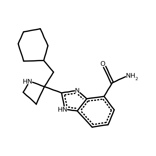 NC(=O)c1cccc2[nH]c(C3(CC4CCCCC4)CCN3)nc12